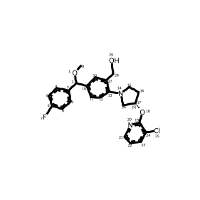 COC(c1ccc(F)cc1)c1ccc(N2CC[C@H](Oc3ncccc3Cl)C2)c(CO)c1